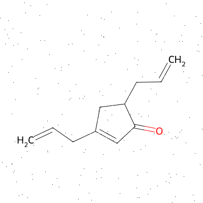 C=CCC1=CC(=O)C(CC=C)C1